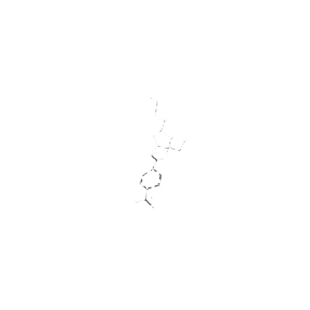 CCCCCCC(CC)(CC)OC(=O)c1ccc(C(=O)O)cc1